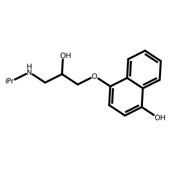 CC(C)NCC(O)COc1ccc(O)c2ccccc12